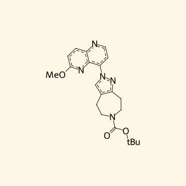 COc1ccc2nccc(-n3cc4c(n3)CCN(C(=O)OC(C)(C)C)CC4)c2n1